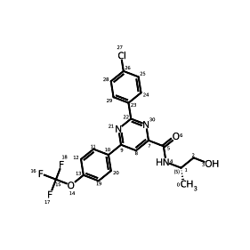 C[C@@H](CO)NC(=O)c1cc(-c2ccc(OC(F)(F)F)cc2)nc(-c2ccc(Cl)cc2)n1